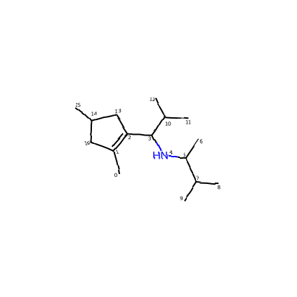 CC1=C(C(NC(C)C(C)C)C(C)C)CC(C)C1